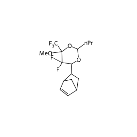 CCCC1OC(C2CC3C=CC2C3)C(F)(F)C(OC)(C(F)(F)F)O1